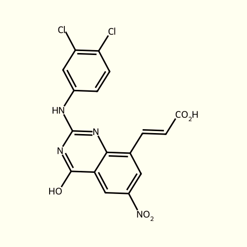 O=C(O)/C=C/c1cc([N+](=O)[O-])cc2c(O)nc(Nc3ccc(Cl)c(Cl)c3)nc12